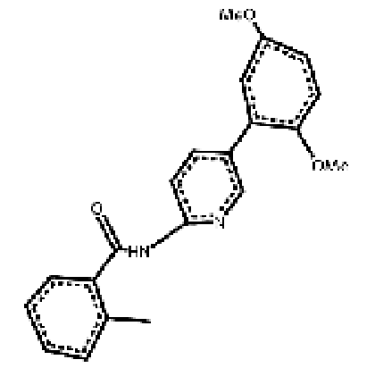 COc1ccc(OC)c(-c2ccc(NC(=O)c3ccccc3C)nc2)c1